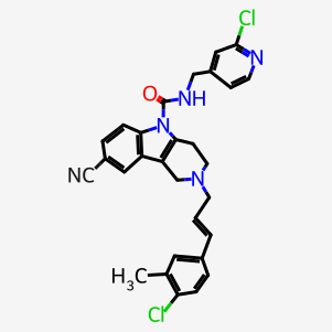 Cc1cc(C=CCN2CCc3c(c4cc(C#N)ccc4n3C(=O)NCc3ccnc(Cl)c3)C2)ccc1Cl